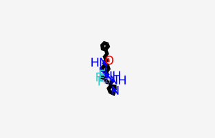 N=C(/C=C(\Nc1ccc(NC(=O)CCc2ccccc2)cn1)C(F)(F)F)c1cccnc1